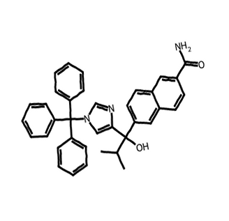 CC(C)C(O)(c1ccc2cc(C(N)=O)ccc2c1)c1cn(C(c2ccccc2)(c2ccccc2)c2ccccc2)cn1